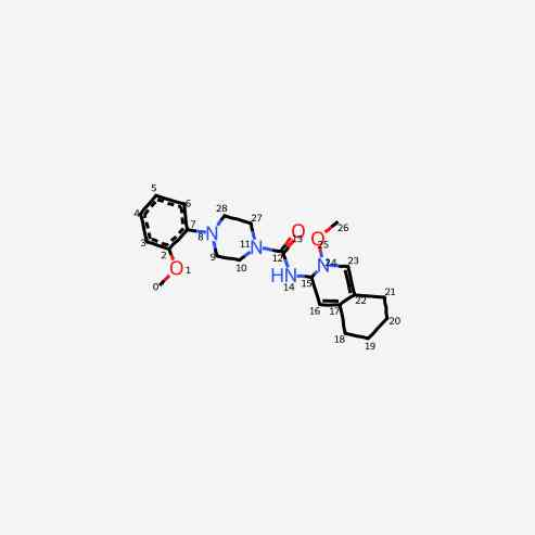 COc1ccccc1N1CCN(C(=O)NC2C=C3CCCCC3=CN2OC)CC1